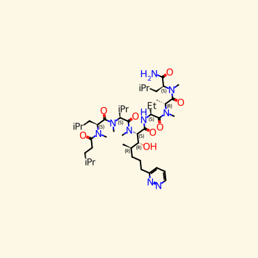 CC[C@H](NC(=O)[C@H]([C@H](O)[C@H](C)CCCc1cccnn1)N(C)C(=O)[C@H](C(C)C)N(C)C(=O)[C@H](CC(C)C)N(C)C(=O)CCC(C)C)C(=O)N(C)[C@H](C)C(=O)N(C)[C@@H](CC(C)C)C(N)=O